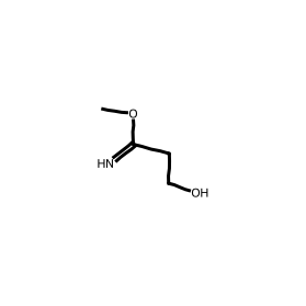 COC(=N)CCO